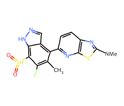 CNc1nc2ccc(-c3c(C)c(F)c([SH](=O)=O)c4[nH]ncc34)nc2s1